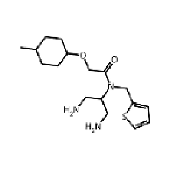 CC1CCC(OCC(=O)N(Cc2cccs2)C(CN)CN)CC1